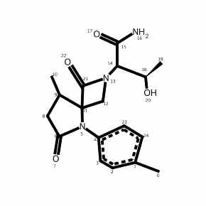 Cc1ccc(N2C(=O)CC(C)C23CN(C(C(N)=O)[C@@H](C)O)C3=O)cc1